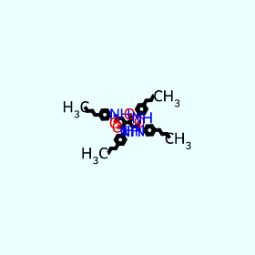 CCCCc1ccc(NC(=O)CC(C(=O)Nc2ccc(CCCC)cc2)C(CC(=O)Nc2ccc(CCCC)cc2)C(=O)Nc2ccc(CCCC)cc2)cc1